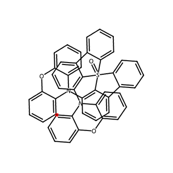 O=S12(c3ccccc3-c3cccc(N4c5ccccc5Oc5ccccc54)c31)c1ccccc1-c1cccc(N3c4ccccc4Oc4ccccc43)c12